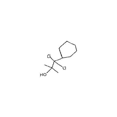 CC(C)(O)C(Cl)(Cl)C1CCCCC1